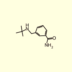 CC(C)(C)NCc1cccc(C(N)=O)c1